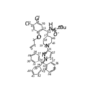 C=CCOc1cc(Cl)c(Cl)cc1C(N[S@@+]([O-])C(C)(C)C)C1CCN(c2ccn(C(c3ccccc3)(c3ccccc3)c3ccccc3)n2)CC1